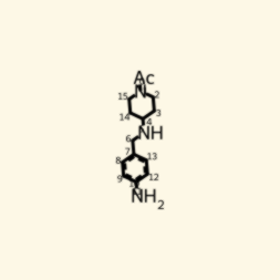 CC(=O)N1CCC(NCc2ccc(N)cc2)CC1